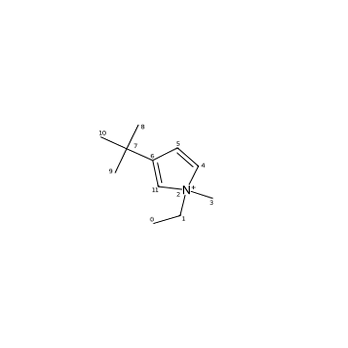 CC[N+]1(C)C=CC(C(C)(C)C)=C1